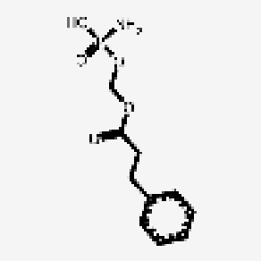 NP(=O)(O)OCOC(=O)CCc1ccccc1